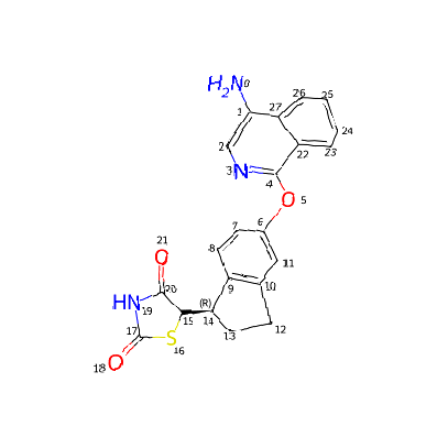 Nc1cnc(Oc2ccc3c(c2)CC[C@H]3C2SC(=O)NC2=O)c2ccccc12